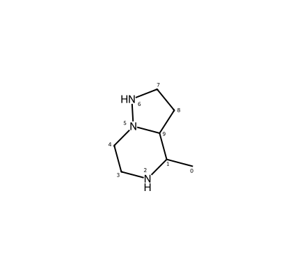 CC1NCCN2NCCC12